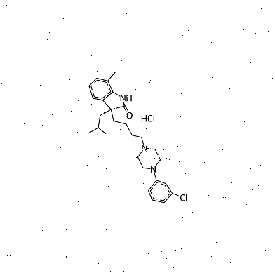 Cc1cccc2c1NC(=O)C2(CCCCN1CCN(c2cccc(Cl)c2)CC1)CC(C)C.Cl